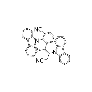 C=C/C(=C(\CC#N)n1c2ccccc2c2ccccc21)c1cccc(C#N)c1-n1c2ccccc2c2ccccc21